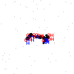 CCNC(=O)c1nnc(-c2cc(C(C)C)c(O)cc2O)n1-c1ccc(Oc2ccc(CN(CCOC(=O)Nc3cccc4c3CN(C3CCC(=O)NC3=O)C4=O)C(=O)O)cc2)cc1